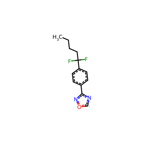 CCCCC(F)(F)c1ccc(-c2n[c]on2)cc1